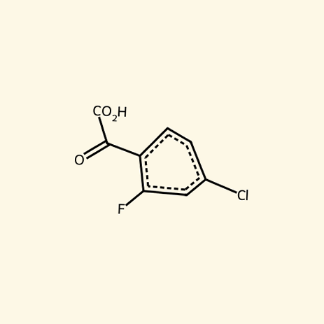 O=C(O)C(=O)c1ccc(Cl)cc1F